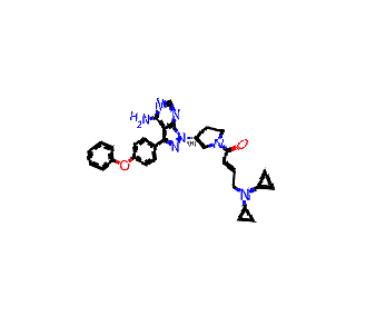 Nc1ncnc2c1c(-c1ccc(Oc3ccccc3)cc1)nn2[C@@H]1CCN(C(=O)C=CCN(C2CC2)C2CC2)C1